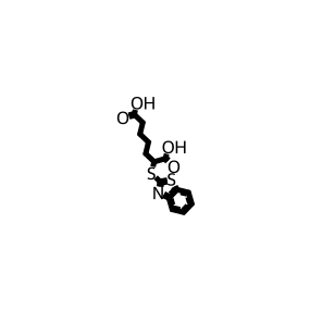 O=C(O)CCCCC(Sc1nc2ccccc2s1)C(=O)O